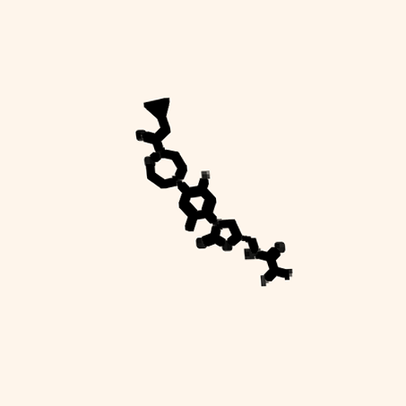 Cc1cc(N2CCON(C(=O)CC3CC3)CC2)c(F)cc1N1C[C@H](CNC(=O)C(F)F)OC1=O